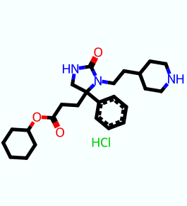 Cl.O=C(CCC1(c2ccccc2)CNC(=O)N1CCC1CCNCC1)OC1CCCCC1